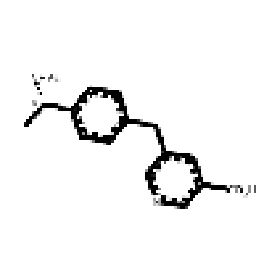 CC(=O)N[C@@H](C)c1ccc(Cc2cncc(C(=O)O)c2)cc1